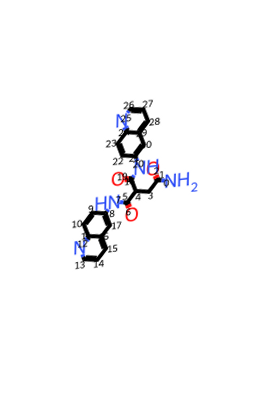 NC(=O)CC(C(=O)Nc1ccc2ncccc2c1)C(=O)Nc1ccc2ncccc2c1